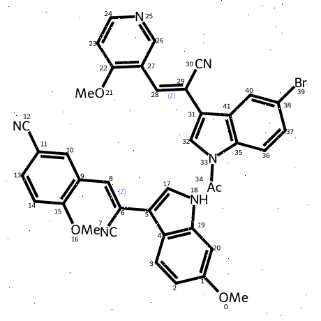 COc1ccc2c(/C(C#N)=C/c3cc(C#N)ccc3OC)c[nH]c2c1.COc1ccncc1/C=C(\C#N)c1cn(C(C)=O)c2ccc(Br)cc12